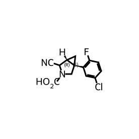 N#CC1[C@@H]2C[C@]2(c2cc(Cl)ccc2F)CN1C(=O)O